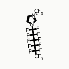 FC(F)(F)[n+]1ccn(C(F)(F)C(F)(F)C(F)(F)C(F)(F)C(F)(F)C(F)(F)F)c1